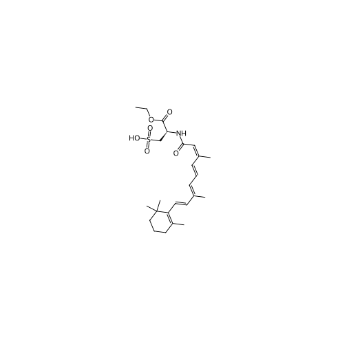 CCOC(=O)[C@H](CS(=O)(=O)O)NC(=O)/C=C(/C)C=CC=C(C)C=CC1=C(C)CCCC1(C)C